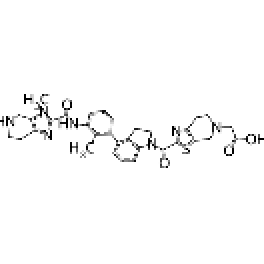 Cc1c(NC(=O)c2nc3c(n2C)CNCC3)cccc1-c1cccc2c1CCN2C(=O)c1nc2c(s1)CN(CC(=O)O)CC2